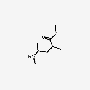 CNC(C)CC(C)C(=O)OC